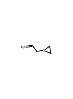 C=CCN1[CH]C1